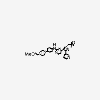 COCCN1CCN(c2ccc(Nc3nccc(-c4cn(CC5(C)COC5)nc4-c4cccnc4)n3)cc2)CC1